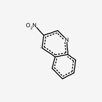 O=[N+]([O-])c1[c]c2ccccc2nc1